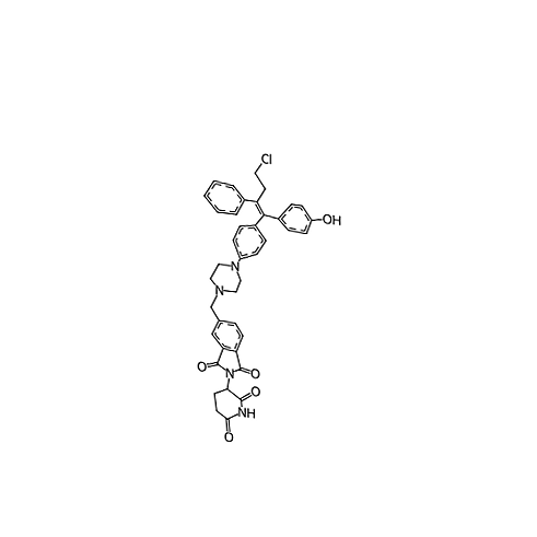 O=C1CCC(N2C(=O)c3ccc(CN4CCN(c5ccc(C(=C(CCCl)c6ccccc6)c6ccc(O)cc6)cc5)CC4)cc3C2=O)C(=O)N1